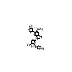 COc1cc2ncn(-c3ccc(Cl)c(NC4CCNC4)n3)c2cc1-c1cnn(C)c1